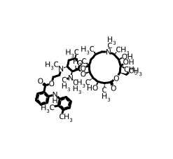 CC[C@H]1OC(=O)[C@H](C)[C@@H](O)[C@H](C)[C@@H](O[C@@H]2O[C@H](C)C[C@@H](N(C)CCOC(=O)c3ccccc3Nc3cccc(C)c3C)[C@@H]2N(C)C)[C@](C)(O)C[C@@H](C)CN(C)[C@H](C)[C@@H](O)[C@]1(C)O